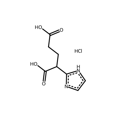 Cl.O=C(O)CCC(C(=O)O)c1ncc[nH]1